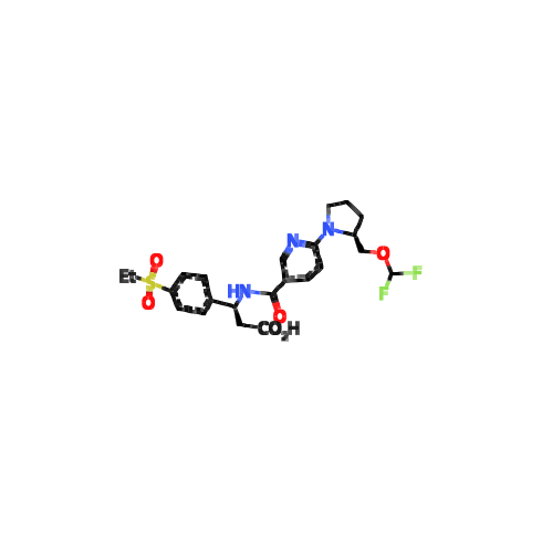 CCS(=O)(=O)c1ccc([C@H](CC(=O)O)NC(=O)c2ccc(N3CCC[C@H]3COC(F)F)nc2)cc1